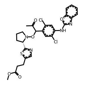 COC(=O)CCc1cnc([C@@H]2CCCN2OC(C(C)=O)c2cc(Cl)c(Nc3nc4ccccc4o3)cc2Cl)s1